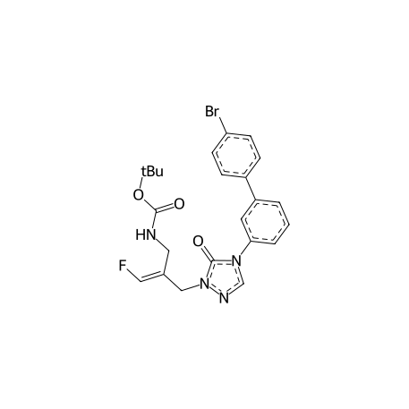 CC(C)(C)OC(=O)NC/C(=C\F)Cn1ncn(-c2cccc(-c3ccc(Br)cc3)c2)c1=O